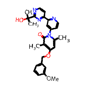 COc1cccc(COc2cc(C)n(-c3ccnc(-c4ccnc(C(C)(C)O)n4)c3)c(=O)c2C)c1